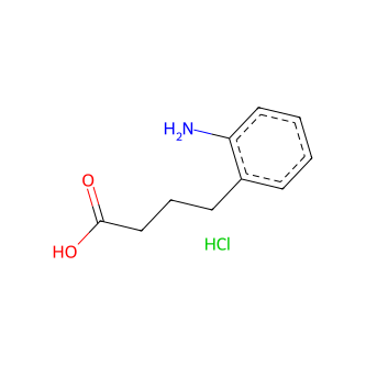 Cl.Nc1ccccc1CCCC(=O)O